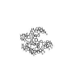 CN1C(C)(C)CC(OC(=O)c2cc(C(=O)OC3CC(C)(C)N(C)C(C)(C)C3)c(C(=O)OC3CC(C)(C)N(C)C(C)(C)C3)c(C(=O)OC3CC(C)(C)N(C)C(C)(C)C3)c2C(=O)OC2CC(C)(C)N(C)C(C)(C)C2)CC1(C)C